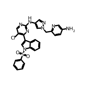 Nc1ccc(Cn2cc(Nc3ncc(Cl)c(-c4cn(S(=O)(=O)c5ccccc5)c5ccccc45)n3)cn2)nc1